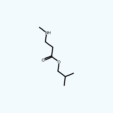 CNCCC(=O)OCC(C)C